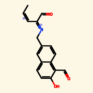 C/C=C\C(C=O)=N/Cc1ccc2c(C=O)c(O)ccc2c1